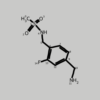 CS(=O)(=O)NCc1ccc(CN)cc1F